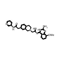 COc1cccc2/c(=N/C(=N)CN3CCc4ccc(CC(=O)Nc5cccnc5)cc4C3)[nH]c(N)nc12